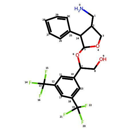 NCC1COC(OC(CO)c2cc(C(F)(F)F)cc(C(F)(F)F)c2)C1c1ccccc1